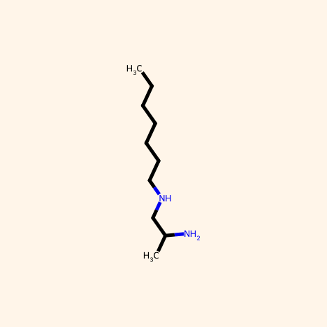 CCCCCCCNCC(C)N